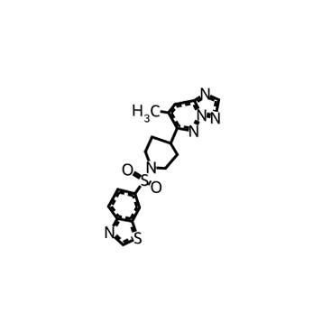 Cc1cc2ncnn2nc1C1CCN(S(=O)(=O)c2ccc3ncsc3c2)CC1